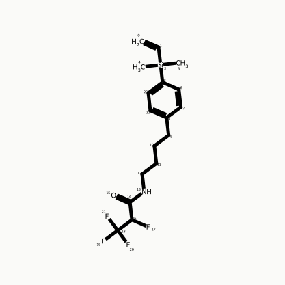 C=C[Si](C)(C)c1ccc(CCCCNC(=O)C(F)C(F)(F)F)cc1